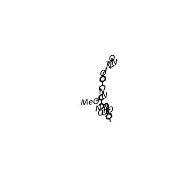 COc1cc(N2CCC(c3ccc(OCCN4CCN(C)C(=O)[C@H]4C)cc3)CC2)ncc1-c1cn(C)c(=O)c2c1ccn2S(=O)(=O)c1ccc(C)cc1